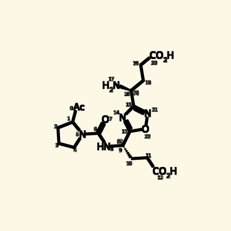 CC(=O)C1CCCN1C(=O)N[C@@H](CCC(=O)O)c1nc([C@@H](N)CCC(=O)O)no1